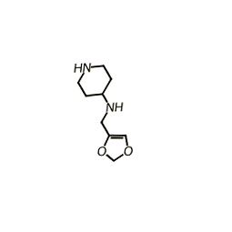 C1=C(CNC2CCNCC2)OCO1